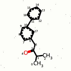 CC(C)C(=O)Cc1cccc(-c2ccccc2)c1